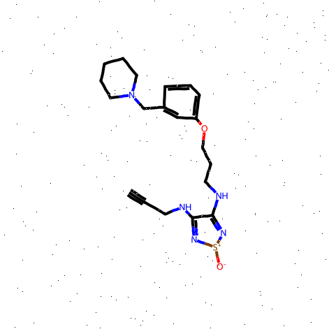 C#CCNc1n[s+]([O-])nc1NCCCOc1cccc(CN2CCCCC2)c1